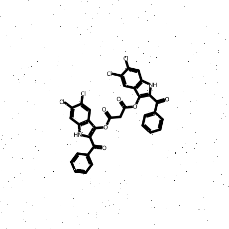 O=C(CC(=O)Oc1c(C(=O)c2ccccc2)[nH]c2cc(Cl)c(Cl)cc12)Oc1c(C(=O)c2ccccc2)[nH]c2cc(Cl)c(Cl)cc12